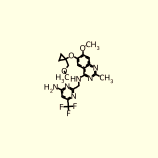 COCC1(Oc2cc3c(NCc4nc(N)cc(C(F)(F)F)n4)nc(C)nc3cc2OC)CC1